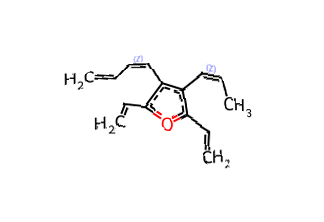 C=C/C=C\c1c(C=C)oc(C=C)c1/C=C\C